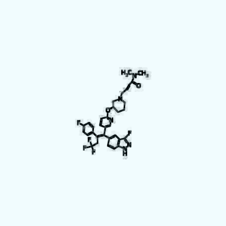 CN(C)C(=O)C=CCN1CCC[C@@H](Oc2ccc(/C(=C(/CC(F)(F)F)c3ccc(F)cc3)c3ccc4[nH]nc(F)c4c3)cn2)C1